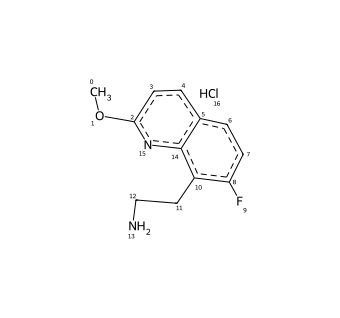 COc1ccc2ccc(F)c(CCN)c2n1.Cl